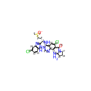 C[S+]([O-])CC[C@H](Nc1ncnc2cc(C(=O)N3CCCC3N)c(Cl)cc12)c1nc2cc(Cl)ccc2[nH]1